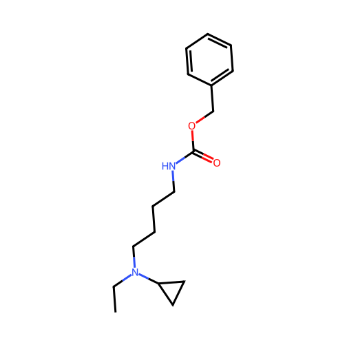 CCN(CCCCNC(=O)OCc1ccccc1)C1CC1